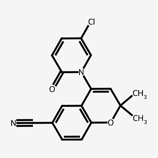 CC1(C)C=C(n2cc(Cl)ccc2=O)c2cc(C#N)ccc2O1